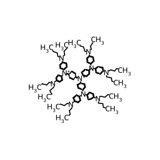 CCCCN(CCCC)c1ccc(N(c2ccc(N(CCCC)CCCC)cc2)c2ccc([N+](=C3C=CC(=[N+](c4ccc(N(CCCC)CCCC)cc4)c4ccc(N(CCCC)CCCC)cc4)C=C3)c3ccc(N(c4ccc(N(CCCC)CCCC)cc4)c4ccc(N(CCCC)CCCC)cc4)cc3)cc2)cc1